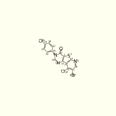 O=c1c2sc3ncc(Br)c(Cl)c3c2ncn1-c1ccc(Cl)cc1